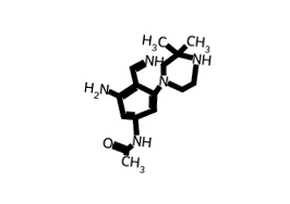 CC(=O)Nc1cc(N)c(C=N)c(N2CCNC(C)(C)C2)c1